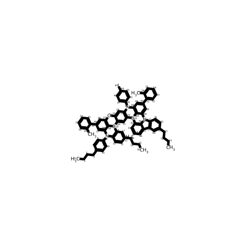 CCCCc1ccc(N2c3ccc(CCCC)cc3B3c4cc5c(cc4Oc4cc(-c6ccccc6C)cc2c43)N(c2ccc(I)cc2)c2cc(-c3ccccc3C)cc3c2B5c2cc(C)cc4c5cc(CCCC)ccc5n-3c24)cc1